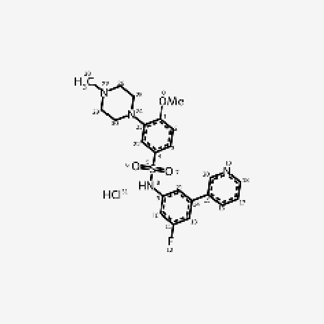 COc1ccc(S(=O)(=O)Nc2cc(F)cc(-c3cccnc3)c2)cc1N1CCN(C)CC1.Cl